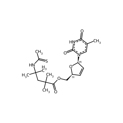 CC(=S)NC(C)(C)CC(C)(C)C(=O)OC[C@@H]1C=C[C@H](n2cc(C)c(=O)[nH]c2=O)O1